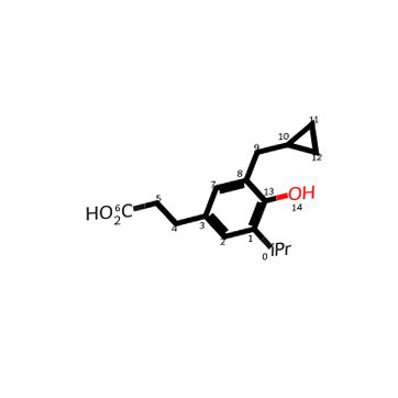 CC(C)c1cc(CCC(=O)O)cc(CC2CC2)c1O